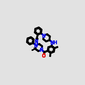 Cc1cc(C)c(C(=O)N2CCN(c3ccccc3)[C@H](C)C2)cc1NC1CCN(c2ccccc2C#N)CC1